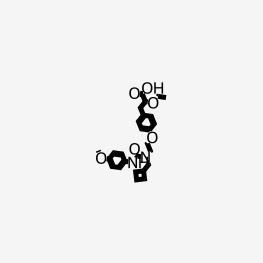 CCOC(Cc1ccc(OCCN(CC2CCC2)C(=O)Nc2ccc(OC)cc2)cc1)C(=O)O